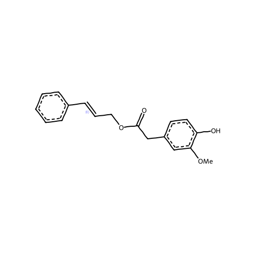 COc1cc(CC(=O)OC/C=C/c2ccccc2)ccc1O